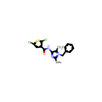 CCOC(=O)c1c(NC(=O)c2cc(Cl)sc2Cl)nc(SC)n1Cc1ccccc1